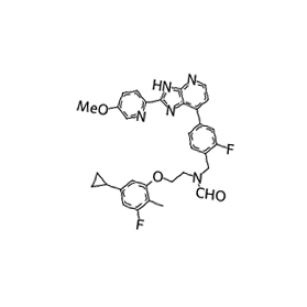 COc1ccc(-c2nc3c(-c4ccc(CN(C=O)CCOc5cc(C6CC6)cc(F)c5C)c(F)c4)ccnc3[nH]2)nc1